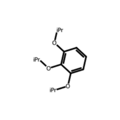 CC(C)Oc1cccc(OC(C)C)c1OC(C)C